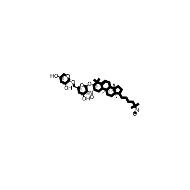 CC(C)(CCCCC1CC[C@@]2(C)C3CC=C4C(CC[C@H](O[C@@H]5O[C@H](CO[C@H]6OC[C@@H](O)C[C@H]6O)C[C@H](O)[C@H]5N=O)C4(C)C)[C@]3(C)CC[C@]12C)N=O